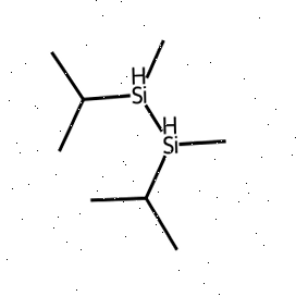 CC(C)[SiH](C)[SiH](C)C(C)C